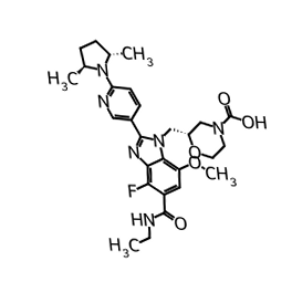 CCNC(=O)c1cc(OC)c2c(nc(-c3ccc(N4[C@@H](C)CC[C@@H]4C)nc3)n2C[C@@H]2CN(C(=O)O)CCO2)c1F